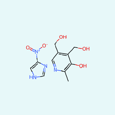 Cc1ncc(CO)c(CO)c1O.O=[N+]([O-])c1c[nH]cn1